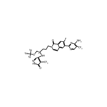 [2H]C([2H])([2H])OC[C@@H](CCCn1ccc2cc(-c3ncc(C(F)(F)F)c(N)n3)c(F)cc2c1=O)Nc1cn[nH]c(=O)c1C(F)(F)F